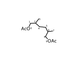 CC(=O)OCC(C)CCC(C)COC(C)=O